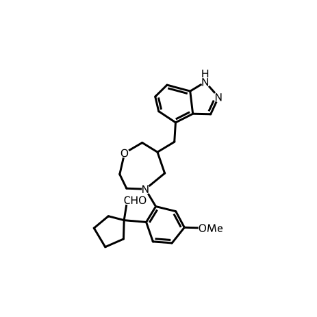 COc1ccc(C2(C=O)CCCC2)c(N2CCOCC(Cc3cccc4[nH]ncc34)C2)c1